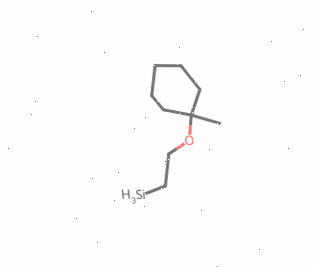 CC1(OCC[SiH3])CCCCC1